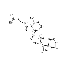 CCN(CC)CCOC(=O)C1=C(Cl)CSC2[C@H](NC(=O)C(NC(C)=O)c3ccccc3)C(=O)N12